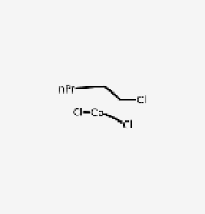 CCCCCCl.[Cl][Ca][Cl]